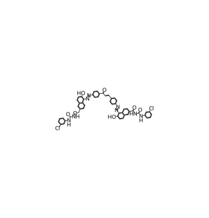 O=C(NOCc1ccc2c(N=Nc3ccc(C(=O)C=Cc4ccc(N=Nc5c(O)ccc6cc(C(=O)NC(=O)Nc7cccc(Cl)c7)ccc56)cc4)cc3)c(O)ccc2c1)Nc1cccc(Cl)c1